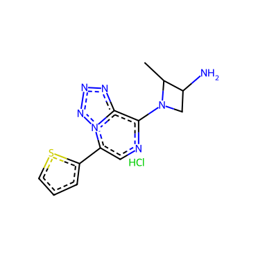 CC1C(N)CN1c1ncc(-c2cccs2)n2nnnc12.Cl